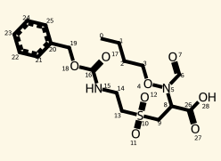 CCCCON(C=O)C(CS(=O)(=O)CCNC(=O)OCc1ccccc1)C(=O)O